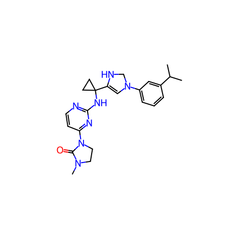 CC(C)c1cccc(N2C=C(C3(Nc4nccc(N5CCN(C)C5=O)n4)CC3)NC2)c1